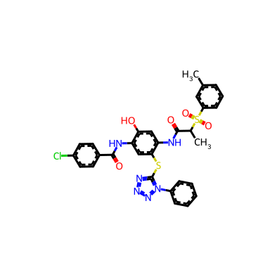 Cc1cccc(S(=O)(=O)C(C)C(=O)Nc2cc(O)c(NC(=O)c3ccc(Cl)cc3)cc2Sc2nnnn2-c2ccccc2)c1